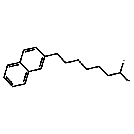 F[C](F)CCCCCCc1ccc2ccccc2c1